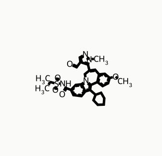 COc1ccc2c(c1)C=C(c1c(C=O)cnn1C)Cn1c-2c(C2CCCCC2)c2ccc(C(=O)NS(=O)(=O)C(C)C)cc21